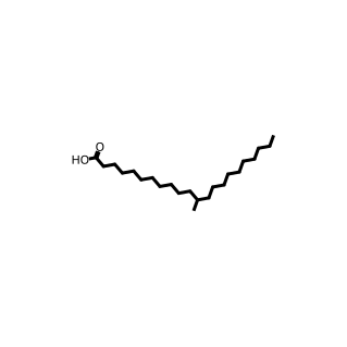 CCCCCCCCCCC(C)CCCCCCCCCCC(=O)O